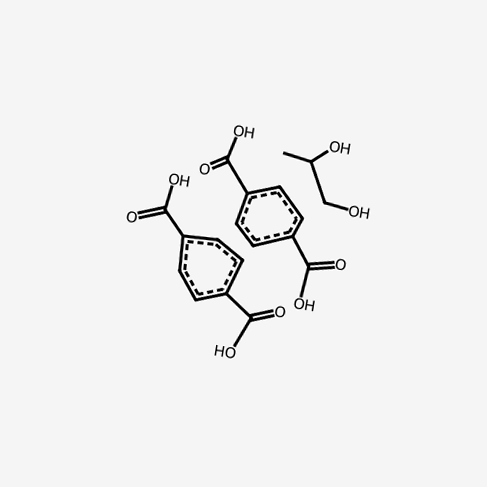 CC(O)CO.O=C(O)c1ccc(C(=O)O)cc1.O=C(O)c1ccc(C(=O)O)cc1